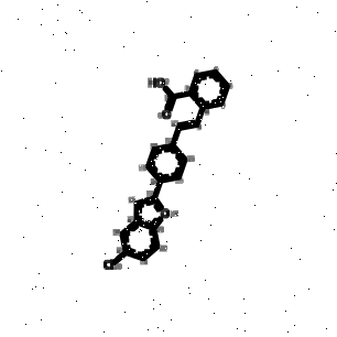 O=C(O)c1ccccc1C=Cc1ccc(-c2cc3cc(Cl)ccc3o2)cc1